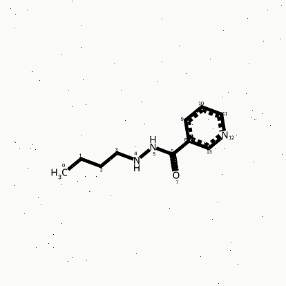 CCCCNNC(=O)c1cccnc1